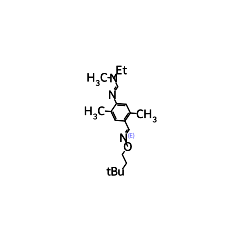 CCN(C)C=Nc1cc(C)c(/C=N/OCCC(C)(C)C)cc1C